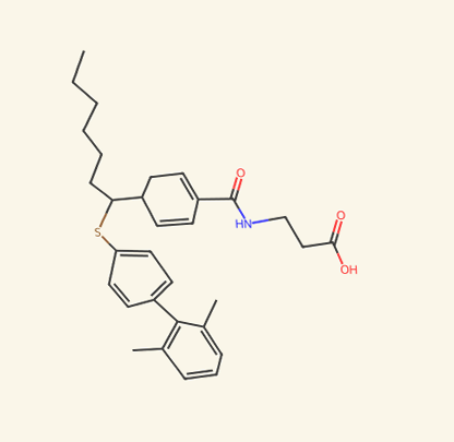 CCCCCCC(Sc1ccc(-c2c(C)cccc2C)cc1)C1C=CC(C(=O)NCCC(=O)O)=CC1